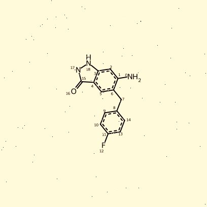 Nc1cc2c(cc1Cc1ccc(F)cc1)C(=O)[N]N2